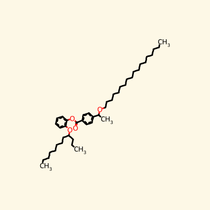 CCCCCCCCCCCCCCCCCCOC(C)c1ccc(C(=O)Oc2ccccc2OC(CCC)CCCCCCCC)cc1